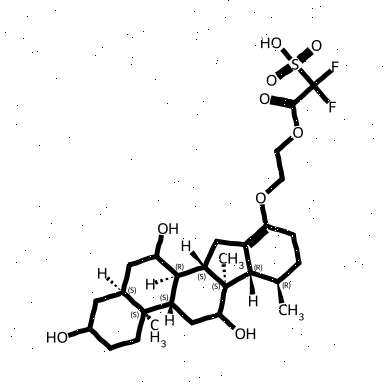 C[C@@H]1CCC(OCCOC(=O)C(F)(F)S(=O)(=O)O)=C2C[C@H]3[C@@H]4C(O)C[C@@H]5CC(O)CC[C@]5(C)[C@H]4CC(O)[C@]3(C)[C@H]21